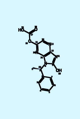 C[C@@H](c1ccccc1)n1c(O)nc2ncc(OC(=O)O)nc21